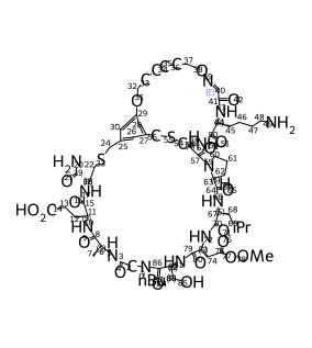 CCCCN1CC(=O)N[C@@H](C)C(=O)N[C@@H](CCC(=O)O)C(=O)N[C@H](C(N)=O)CSCc2cc3cc(c2)OCCCCCCO/N=C/C(=O)N[C@@H](CCCCN)C(=O)N[C@@H](CSC3)C(=O)N2CCC[C@H]2C(=O)N[C@@H](CC(C)C)C(=O)N[C@@H](CC(=O)OOC)C(=O)N[C@@H]([C@@H](C)O)C1=O